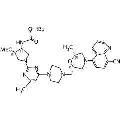 CO[C@@H]1CN(c2nc(C)cc(N3CCN(C[C@H]4CN(c5ccc(C#N)c6ncccc56)C[C@@H](C)O4)CC3)n2)C[C@H]1NC(=O)OC(C)(C)C